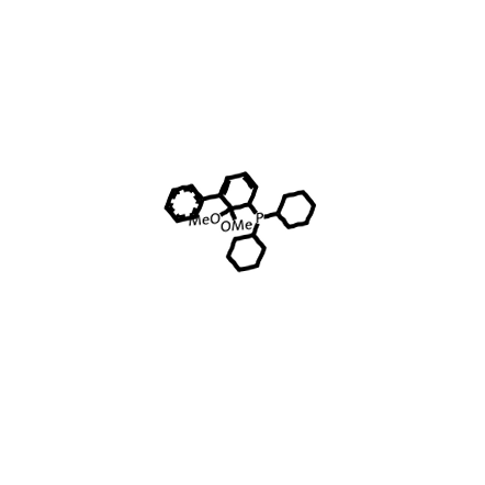 COC1(OC)C(c2ccccc2)=CC=CC1P(C1CCCCC1)C1CCCCC1